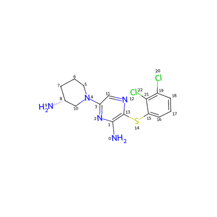 Nc1nc(N2CCC[C@@H](N)C2)cnc1Sc1cccc(Cl)c1Cl